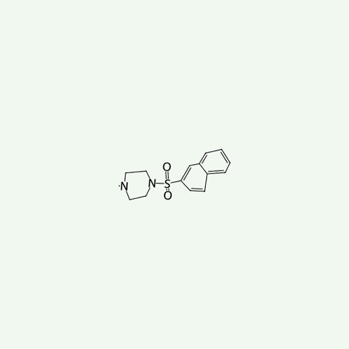 O=S(=O)(c1ccc2ccccc2c1)N1CC[N]CC1